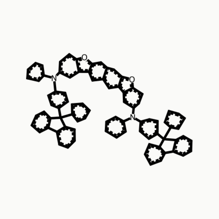 c1ccc(N(c2ccc(C3(c4ccccc4)c4ccccc4-c4ccccc43)cc2)c2ccc3oc4cc5cc6oc7ccc(N(c8ccccc8)c8ccc(C9(c%10ccccc%10)c%10ccccc%10-c%10ccccc%109)cc8)cc7c6cc5cc4c3c2)cc1